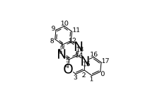 C1=CC2=COc3nc4ccccc4nc3N2C=C1